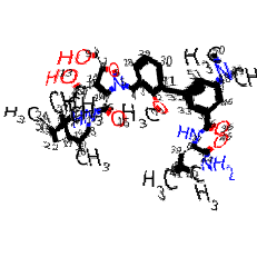 COc1c(CN2O[C@@H](CO)[C@@H]([C@H](C)O)[C@H]2C(=O)NC[C@@H](C)[C@@H]2C[C@H](C)C2(C)C)cccc1-c1cc(C(=O)N[C@@H](CC(C)C)C(N)=O)cc(N(C)C)c1